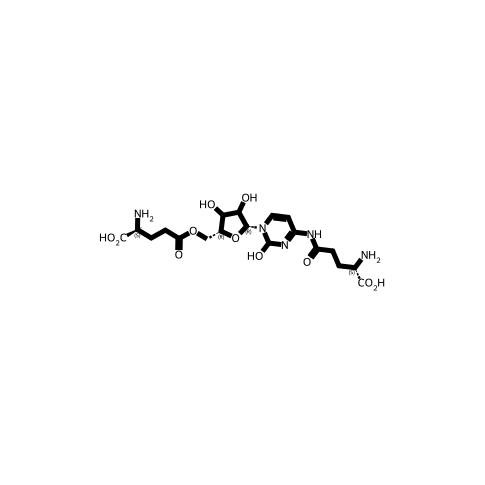 N[C@@H](CCC(=O)NC1=NC(O)N([C@@H]2O[C@H](COC(=O)CC[C@H](N)C(=O)O)C(O)C2O)C=C1)C(=O)O